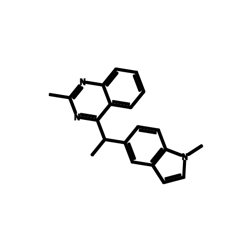 Cc1nc(C(C)c2ccc3c(ccn3C)c2)c2ccccc2n1